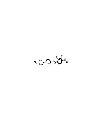 C=C[C@H]1CC[C@H]([C@H]2CC[C@H](COc3ccc(OCC)c(F)c3F)CC2)CC1